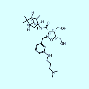 CC1[C@@H](NC(=O)[C@@H]2[C@H](CO)[C@H](CO)ON2Cc2cccc(NCCCN(C)C)c2)C[C@H]2C[C@@H]1C2(C)C